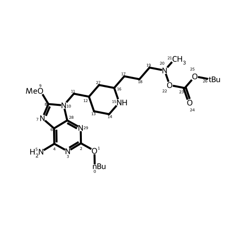 CCCCOc1nc(N)c2nc(OC)n(CC3CCNC(CCCN(C)OC(=O)OC(C)(C)C)C3)c2n1